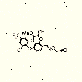 C#CCO/N=C/c1ccc(Oc2ccc(C(F)(F)F)cc2Cl)cc1OC(C)C(=O)OC